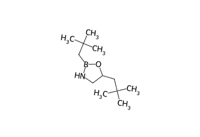 CC(C)(C)CB1NCC(CC(C)(C)C)O1